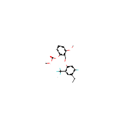 CCc1cc(C(F)(F)F)c(OCc2c(OC)cccc2OC(=O)OC)cc1F